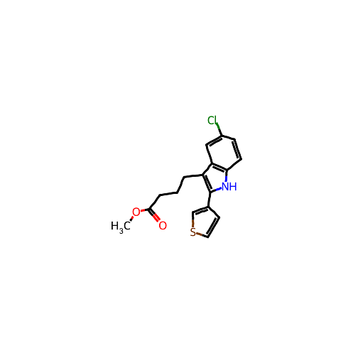 COC(=O)CCCc1c(-c2ccsc2)[nH]c2ccc(Cl)cc12